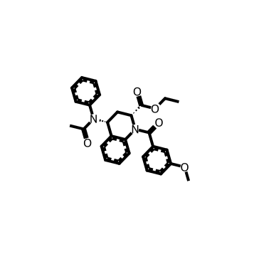 CCOC(=O)[C@H]1C[C@@H](N(C(C)=O)c2ccccc2)c2ccccc2N1C(=O)c1cccc(OC)c1